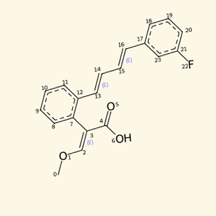 CO/C=C(/C(=O)O)c1ccccc1/C=C/C=C/c1cccc(F)c1